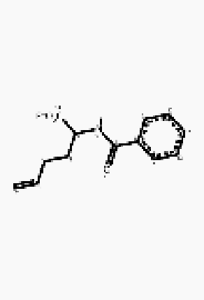 C=CCCC(NC(=O)c1ccccc1)C(=O)OCC